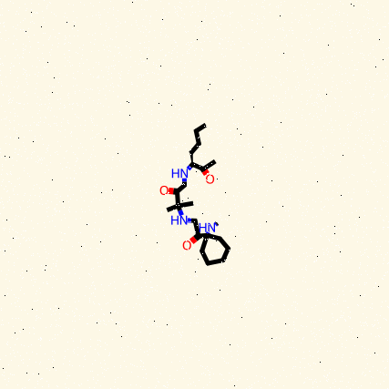 CCCC[C@H](NCC(=O)C(C)(C)NCC(=O)C1(NC)CCCCC1)C(C)=O